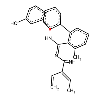 C=C/C(=C\C)C(=N)/N=C(/NCc1cccc(O)c1)c1c(C)cccc1-c1ccccc1